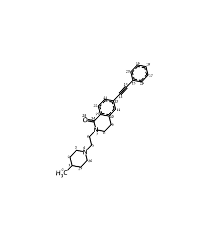 CC1CCN(CCN2CCc3cc(C#Cc4ccccc4)ccc3C2=O)CC1